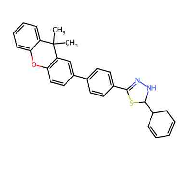 CC1(C)c2ccccc2Oc2ccc(-c3ccc(C4=NNC(C5C=CC=CC5)S4)cc3)cc21